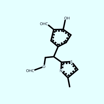 Cc1csc(C(COC=O)c2ccc(O)c(C=O)c2)n1